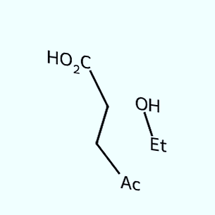 CC(=O)CCC(=O)O.CCO